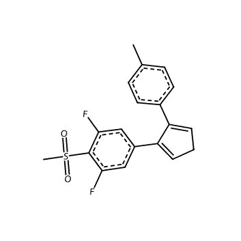 Cc1ccc(C2=CCC=C2c2cc(F)c(S(C)(=O)=O)c(F)c2)cc1